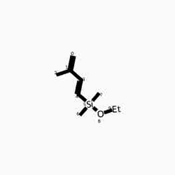 C=C(C)C=C[Si](C)(C)OCC